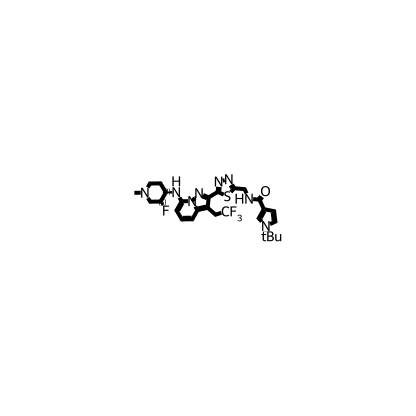 CN1CC[C@@H](Nc2cccc3c(CC(F)(F)F)c(-c4nnc(CNC(=O)c5ccn(C(C)(C)C)c5)s4)nn23)[C@@H](F)C1